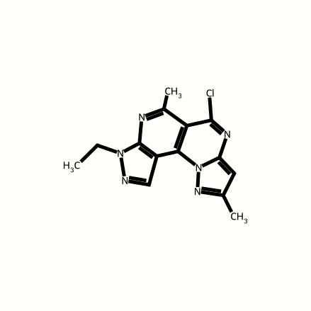 CCn1ncc2c1nc(C)c1c(Cl)nc3cc(C)nn3c12